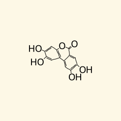 O=c1oc2cc(O)c(O)cc2c2cc(O)c(O)cc12